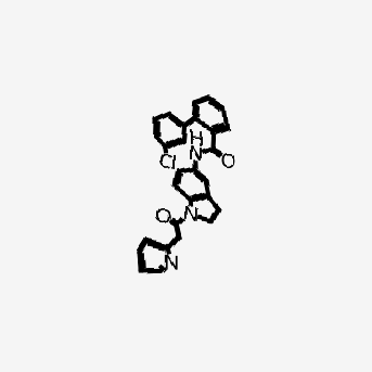 O=C(Nc1ccc2c(c1)CCN2C(=O)Cc1ccccn1)c1ccccc1-c1cccc(Cl)c1